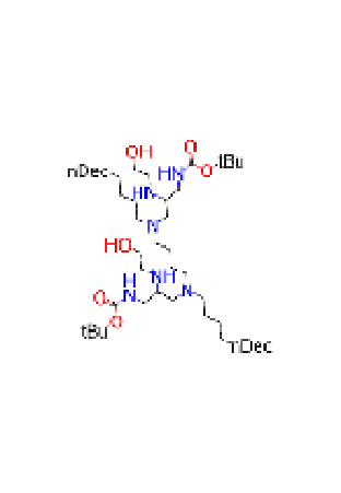 CCCCCCCCCCCCCCN(CCCCN(CCCCCCCCCCCCCC)CC(CNC(=O)OC(C)(C)C)NCCO)CC(CNC(=O)OC(C)(C)C)NCCO